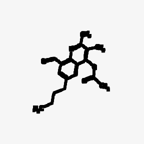 CCCCc1cc(C=O)c2nc(C)c(C)c(OC(C)=O)c2c1